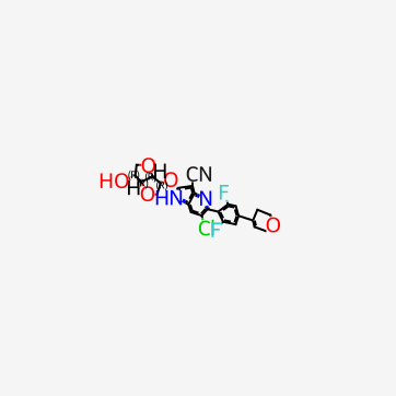 N#Cc1c(O[C@@H]2CO[C@H]3[C@@H]2OC[C@H]3O)[nH]c2cc(Cl)c(-c3c(F)cc(C4=CCOCC4)cc3F)nc12